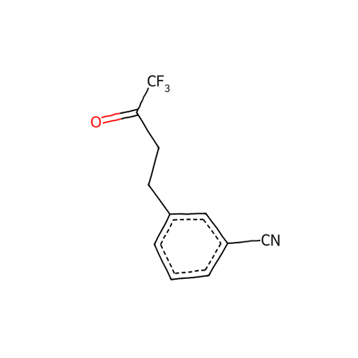 N#Cc1cccc(CCC(=O)C(F)(F)F)c1